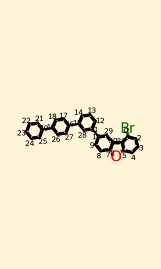 Brc1cccc2oc3ccc(-c4cccc(-c5ccc(-c6ccccc6)cc5)c4)cc3c12